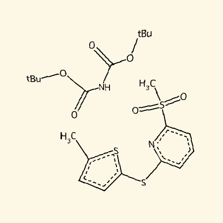 CC(C)(C)OC(=O)NC(=O)OC(C)(C)C.Cc1ccc(Sc2cccc(S(C)(=O)=O)n2)s1